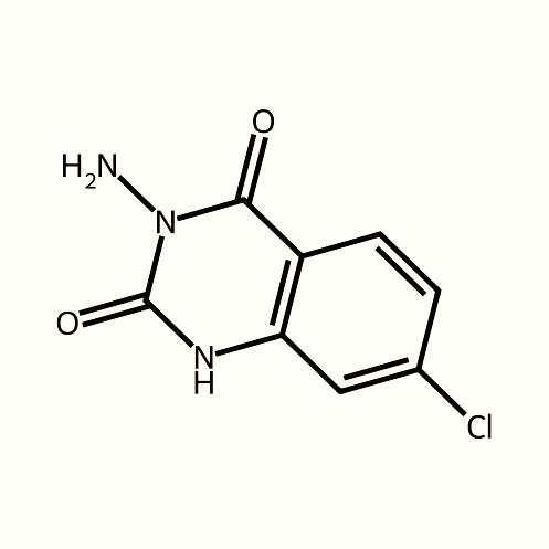 Nn1c(=O)[nH]c2cc(Cl)ccc2c1=O